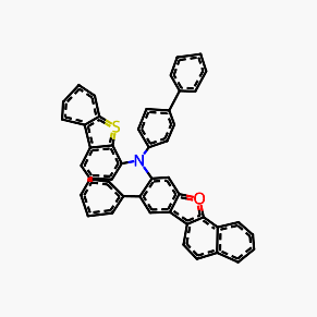 c1ccc(-c2ccc(N(c3cc4oc5c6ccccc6ccc5c4cc3-c3ccccc3)c3cccc4c3sc3ccccc34)cc2)cc1